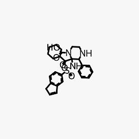 O=C(O)N1CCNC(c2ccccc2)C1(NS(=O)(=O)c1ccc2c(c1)C=CC2)C(=O)C1CCCCC1